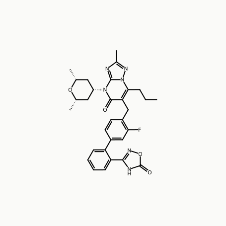 CCCc1c(Cc2ccc(-c3ccccc3-c3noc(=O)[nH]3)cc2F)c(=O)n([C@H]2C[C@@H](C)O[C@@H](C)C2)c2nc(C)nn12